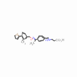 C/C(=N\OCc1ccc(-c2cccs2)c(C(F)(F)F)c1)c1ccc(CNCCC(=O)O)cc1